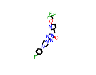 O=c1nc(N2CCN(c3ccc(F)cc3)CC2)ncn1Cc1ccc(OCC(F)(F)F)nc1